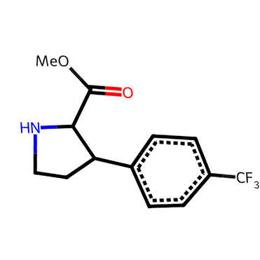 COC(=O)C1NCCC1c1ccc(C(F)(F)F)cc1